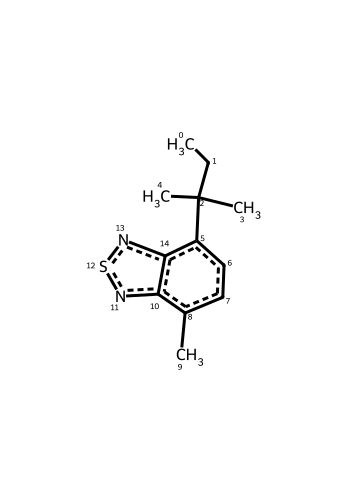 CCC(C)(C)c1ccc(C)c2nsnc12